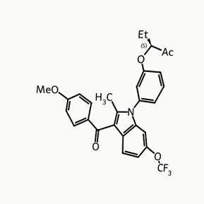 CC[C@H](Oc1cccc(-n2c(C)c(C(=O)c3ccc(OC)cc3)c3ccc(OC(F)(F)F)cc32)c1)C(C)=O